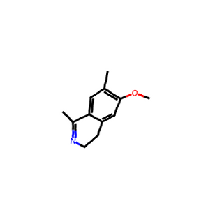 COc1cc2c(cc1C)C(C)=NCC2